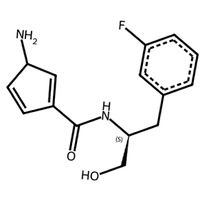 NC1C=CC(C(=O)N[C@H](CO)Cc2cccc(F)c2)=C1